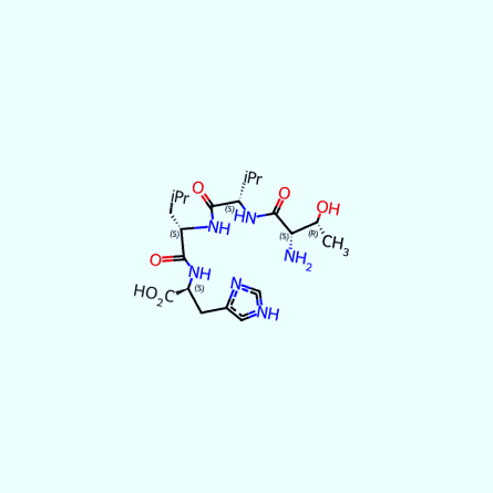 CC(C)C[C@H](NC(=O)[C@@H](NC(=O)[C@@H](N)[C@@H](C)O)C(C)C)C(=O)N[C@@H](Cc1c[nH]cn1)C(=O)O